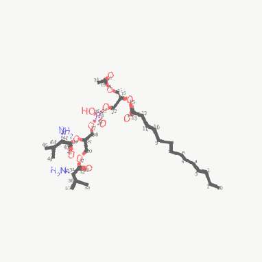 CCCCCCCCCCCCCC(=O)O[C@H](COC(C)=O)COP(=O)(O)OCC(COC(=O)[C@@H](N)C(C)C)OC(=O)[C@@H](N)C(C)C